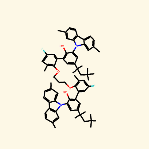 Cc1ccc2c3ccc(C)cc3n(-c3cc(C(C)(C)CC(C)(C)C)cc(-c4cc(F)cc(C)c4OCCCOc4c(C)cc(F)cc4-c4cc(C(C)(C)CC(C)(C)C)cc(-n5c6cc(C)ccc6c6ccc(C)cc65)c4O)c3O)c2c1